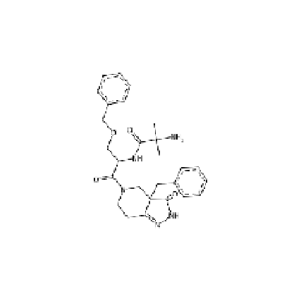 CC(C)(N)C(=O)NC(COCc1ccccc1)C(=O)N1CCC2=NNC(=O)C2(Cc2ccccc2)C1